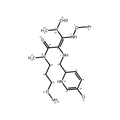 CCCON/C(=C(\NCC1C=CC(Cl)=CN1)C(=O)N(C)CCCON)N(C)C=O